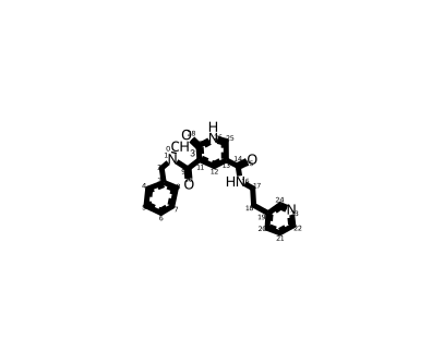 CN(Cc1ccccc1)C(=O)c1cc(C(=O)NCCc2cccnc2)c[nH]c1=O